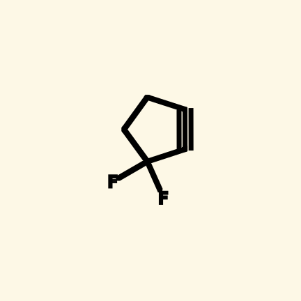 FC1(F)C#CCC1